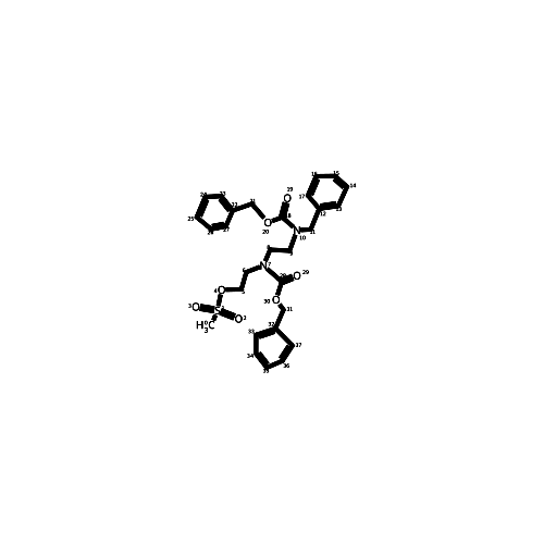 CS(=O)(=O)OCCN(CCN(Cc1ccccc1)C(=O)OCc1ccccc1)C(=O)OCc1ccccc1